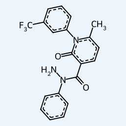 Cc1ccc(C(=O)N(N)c2ccccc2)c(=O)n1-c1cccc(C(F)(F)F)c1